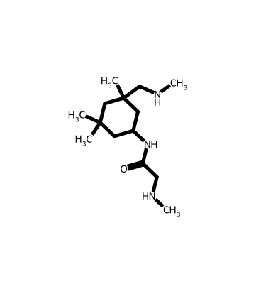 CNCC(=O)NC1CC(C)(C)CC(C)(CNC)C1